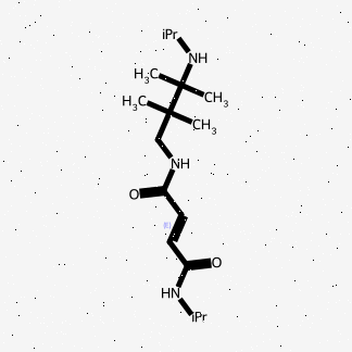 CC(C)NC(=O)/C=C/C(=O)NCC(C)(C)C(C)(C)NC(C)C